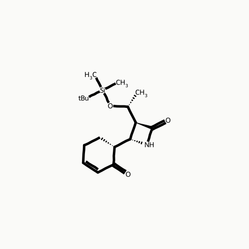 C[C@@H](O[Si](C)(C)C(C)(C)C)[C@H]1C(=O)N[C@@H]1[C@H]1CCC=CC1=O